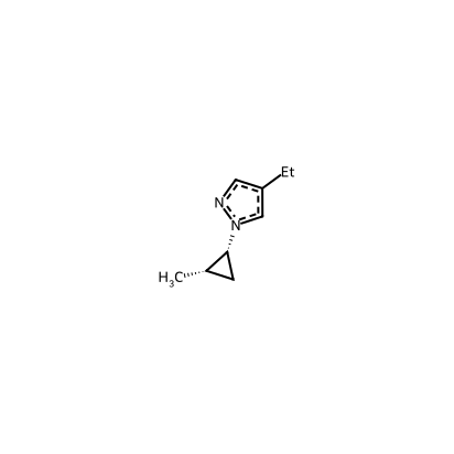 CCc1cnn([C@@H]2C[C@@H]2C)c1